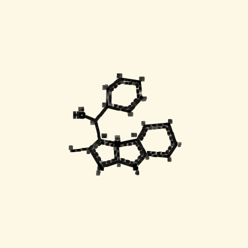 Cc1nc2sc3ccccc3n2c1C(O)c1ccccc1